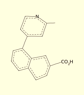 Cc1cc(-c2cccc3ccc(C(=O)O)cc23)ccn1